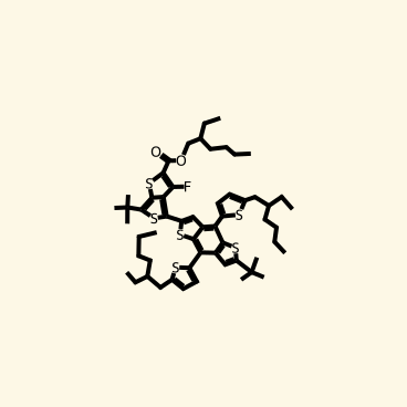 CCCCC(CC)COC(=O)c1sc2c(C(C)(C)C)sc(-c3cc4c(-c5ccc(CC(CC)CCCC)s5)c5sc(C(C)(C)C)cc5c(-c5ccc(CC(CC)CCCC)s5)c4s3)c2c1F